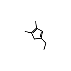 CCC1=CC(C)=C(C)C1